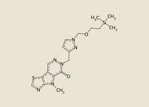 Cn1c2ncsc2c2cnn(Cc3ccn(COCC[Si](C)(C)C)n3)c(=O)c21